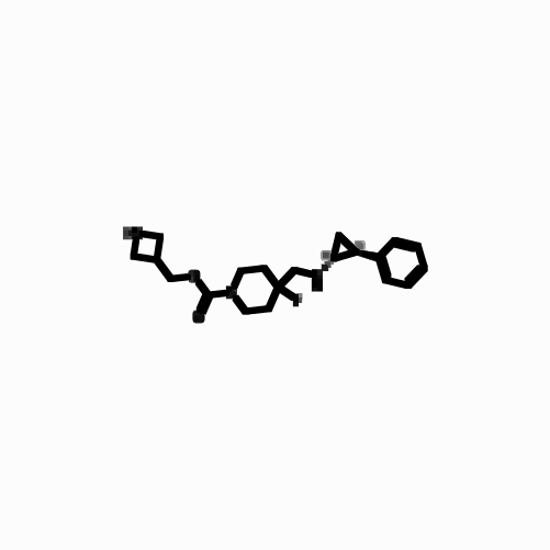 O=C(OCC1CNC1)N1CCC(F)(CN[C@@H]2C[C@H]2c2ccccc2)CC1